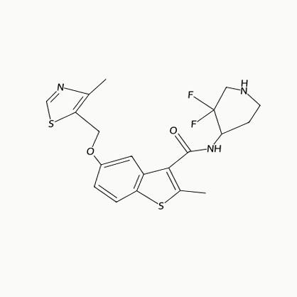 Cc1ncsc1COc1ccc2sc(C)c(C(=O)NC3CCNCC3(F)F)c2c1